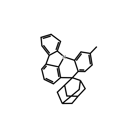 Cc1ccc2c(c1)-n1c3ccccc3c3cccc(c31)C21C2CC3CC(C2)CC1C3